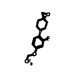 Fc1cc(OCC(F)(F)F)ccc1N1CCC2(CC1)CO2